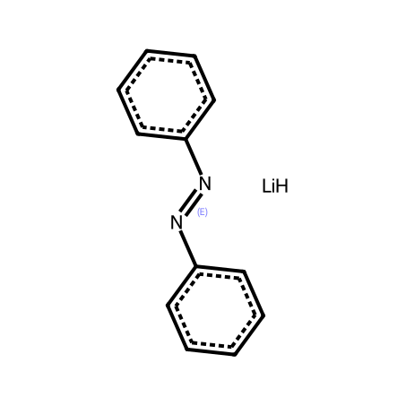 [LiH].c1ccc(/N=N/c2ccccc2)cc1